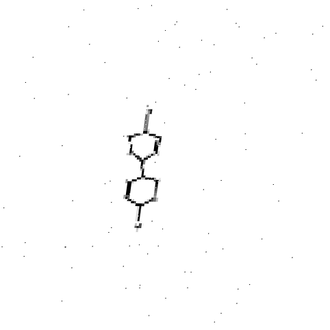 OC1C=CC(C2C=CC(O)CC2)CC1